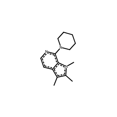 Cc1c(C)n(C)c2c(N3CCCCC3)nccc12